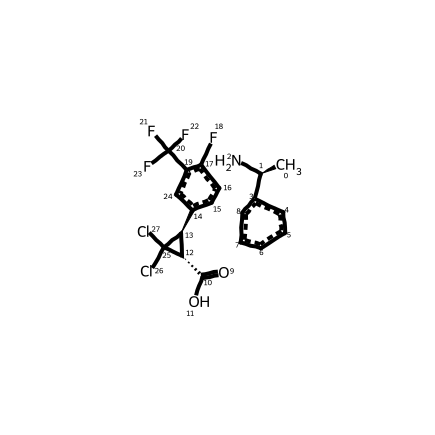 C[C@H](N)c1ccccc1.O=C(O)[C@H]1[C@H](c2ccc(F)c(C(F)(F)F)c2)C1(Cl)Cl